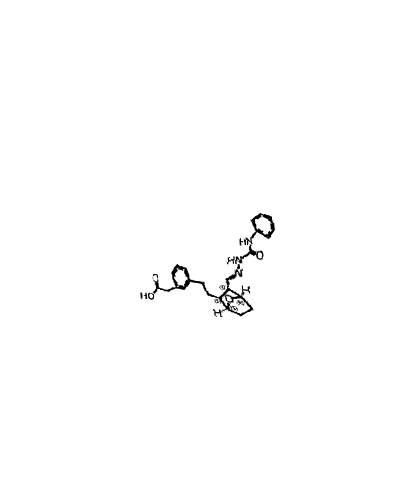 O=C(O)Cc1cccc(CC[C@H]2[C@@H](C=NNC(=O)Nc3ccccc3)[C@H]3CC[C@@H]2O3)c1